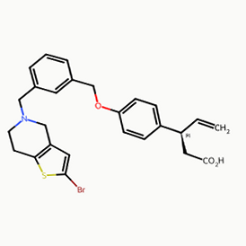 C=C[C@@H](CC(=O)O)c1ccc(OCc2cccc(CN3CCc4sc(Br)cc4C3)c2)cc1